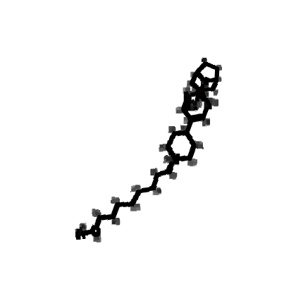 CCN1CC2CCC(C1)N2c1ncc(C2CCN(CCCCCCCCOC(C)C)CC2)cn1